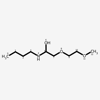 CCCCNC(O)COCCOC